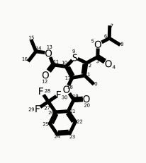 Cc1c(C(=O)OC(C)C)sc(C(=O)OC(C)C)c1OC(=O)c1ccccc1C(F)(F)F